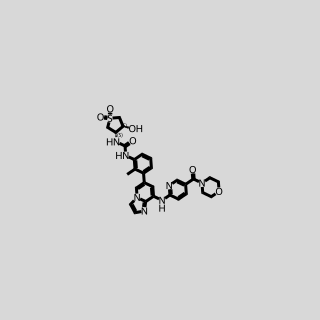 Cc1c(NC(=O)N[C@@H]2CS(=O)(=O)C[C@H]2O)cccc1-c1cc(Nc2ccc(C(=O)N3CCOCC3)cn2)c2nccn2c1